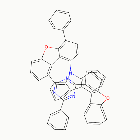 c1ccc(-c2nc(-c3ccccc3)nc(-c3cccc4oc5c(-c6ccccc6)ccc(-n6c7ccccc7c7c8c(ccc76)oc6ccccc68)c5c34)n2)cc1